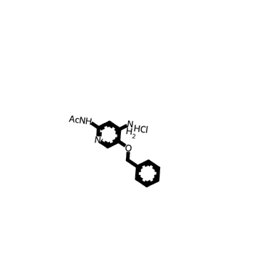 CC(=O)Nc1cc(N)c(OCc2ccccc2)cn1.Cl